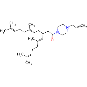 C=CCN1CCN(C(=O)CC(/C=C(\C)CCC=C(C)C)C/C=C(\C)CCC=C(C)C)CC1